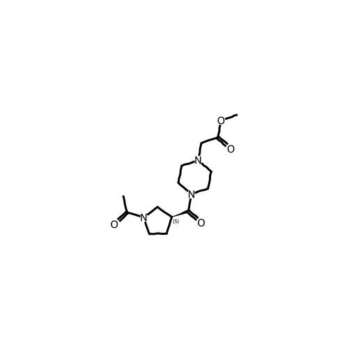 COC(=O)CN1CCN(C(=O)[C@H]2CCN(C(C)=O)C2)CC1